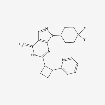 C=C1NC(C2CCC2c2ccccn2)=Nc2c1cnn2C1CCC(F)(F)CC1